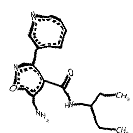 CCC(CC)NC(=O)c1c(-c2cccnc2)noc1N